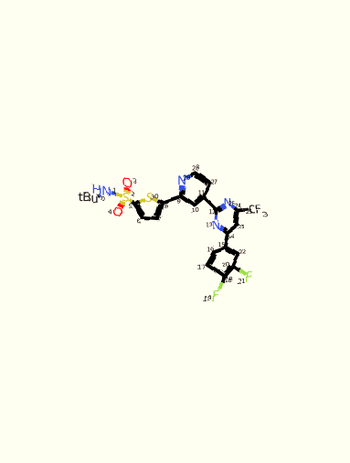 CC(C)(C)NS(=O)(=O)c1ccc(-c2cc(-c3nc(-c4ccc(F)c(F)c4)cc(C(F)(F)F)n3)ccn2)s1